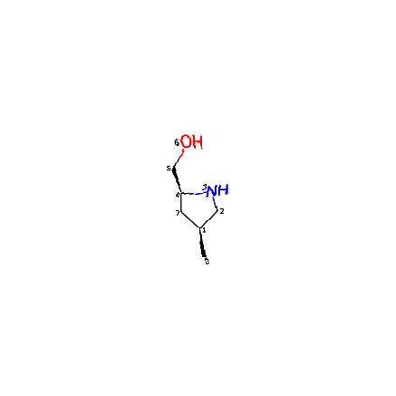 C[C@@H]1CN[C@H](CO)C1